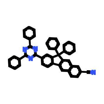 N#Cc1ccc2cc3c(cc2c1)C(c1ccccc1)(c1ccccc1)c1cc(-c2nc(-c4ccccc4)nc(-c4ccccc4)n2)ccc1-3